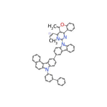 C=C1Oc2ccccc2-c2nc(-n3c4ccccc4c4cc(-c5ccc6c(c5)c5c7ccccc7ccc5n6-c5cccc(-c6ccccc6)c5)ccc43)nc(/C=C\C)c21